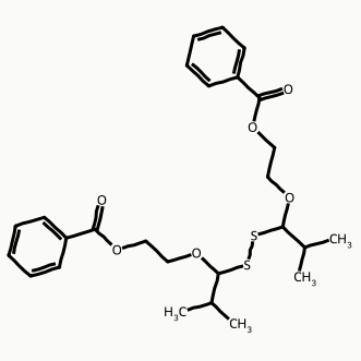 CC(C)C(OCCOC(=O)c1ccccc1)SSC(OCCOC(=O)c1ccccc1)C(C)C